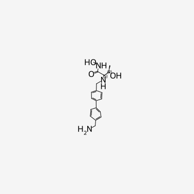 C[C@@H](O)[C@H](NCc1ccc(-c2ccc(CN)cc2)cc1)C(=O)NO